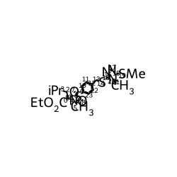 CCOC(=O)[C@H](CC(C)C)N(C)S(=O)(=O)c1ccc(CSc2nnc(SC)n2C)cc1